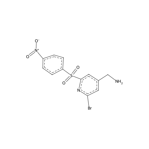 NCc1cc(Br)nc(S(=O)(=O)c2ccc([N+](=O)[O-])cc2)c1